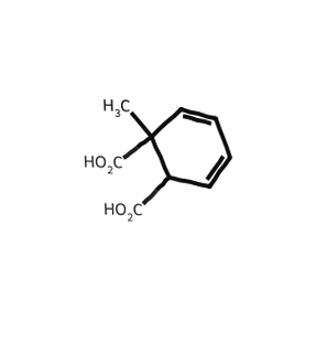 CC1(C(=O)O)C=CC=CC1C(=O)O